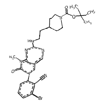 Cn1c(=O)c(-c2cccc(Br)c2C#N)cc2cnc(NCCC3CCN(C(=O)OC(C)(C)C)CC3)nc21